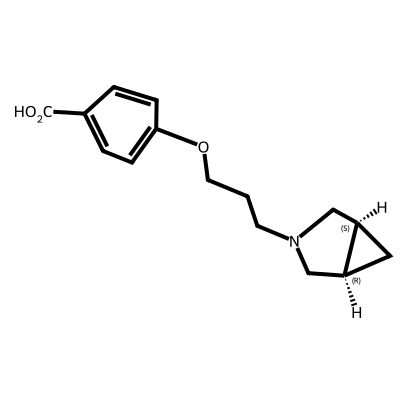 O=C(O)c1ccc(OCCCN2C[C@H]3C[C@H]3C2)cc1